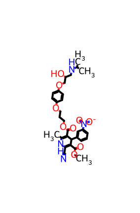 COC(=O)C1=C(C#N)NC(C)=C(C(=O)OCCCOc2ccc(OCC(O)CNC(C)C)cc2)C1c1cccc([N+](=O)[O-])c1